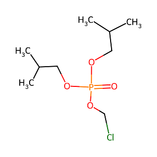 CC(C)COP(=O)(OCCl)OCC(C)C